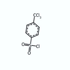 O=S(=O)(Cl)c1ccc(C(Cl)(Cl)Cl)cc1